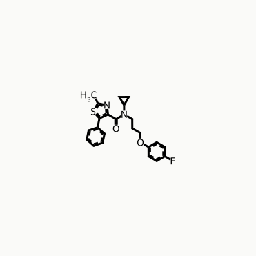 Cc1nc(C(=O)N(CCCOc2ccc(F)cc2)C2CC2)c(-c2ccccc2)s1